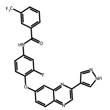 O=C(Nc1ccc(Oc2ccc3ncc(-c4cn[nH]c4)nc3c2)c(F)c1)c1cccc(C(F)(F)F)c1